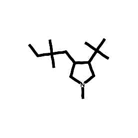 CCC(C)(C)CC1CN(C)CC1C(C)(C)C